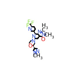 Cc1nc2c(-c3ccc(C(F)(F)F)nc3)nc(N3CCO[C@H](c4cnn(C)c4)C3)cc2c(=O)n1C